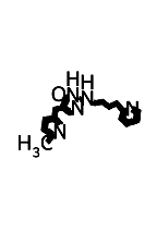 Cc1ccc(Cc2cnc(NCCCCc3ccccn3)[nH]c2=O)cn1